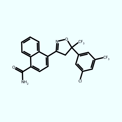 NC(=O)c1ccc(C2=NOC(c3cc(Cl)cc(C(F)(F)F)c3)(C(F)(F)F)C2)c2ccccc12